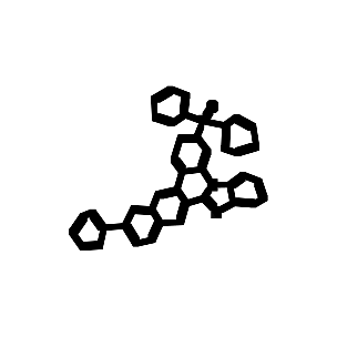 O=P(c1ccccc1)(c1ccccc1)c1ccc2c3cc4cc(-c5ccccc5)ccc4cc3c3nc4ccccc4n3c2c1